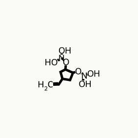 C=CC1CC(ON(O)O)C(ON(O)O)C1